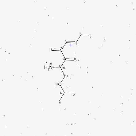 CC/C=C/N(C)C(=S)[C@@H](N)COC(C)C